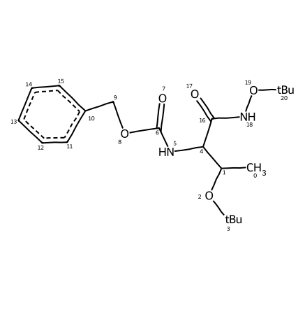 CC(OC(C)(C)C)C(NC(=O)OCc1ccccc1)C(=O)NOC(C)(C)C